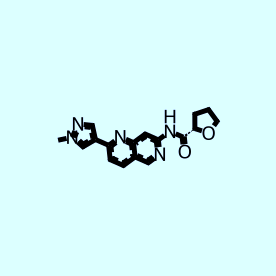 Cn1cc(-c2ccc3cnc(NC(=O)[C@@H]4CCCO4)cc3n2)cn1